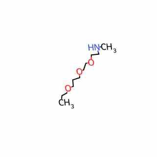 CCCOCCCOCCOCCNC